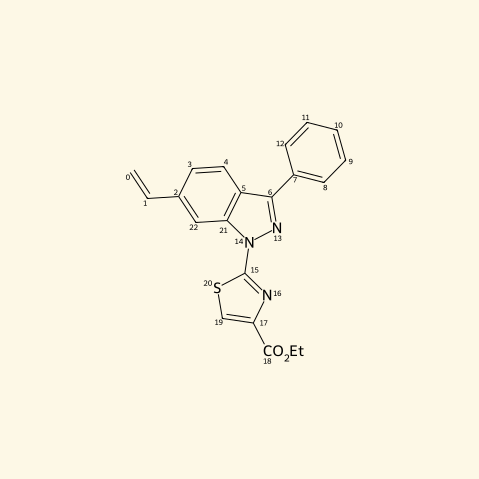 C=Cc1ccc2c(-c3ccccc3)nn(-c3nc(C(=O)OCC)cs3)c2c1